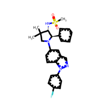 CC1(C)CN(c2ccc3c(cnn3-c3ccc(F)cc3)c2)[C@H](c2ccccc2)[C@H]1NS(C)(=O)=O